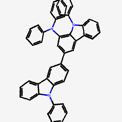 c1ccc(N(c2ccccc2)c2cc(-c3ccc4c(c3)c3ccccc3n4-c3ccccc3)cc3c4ccccc4n(-c4ccccc4)c23)cc1